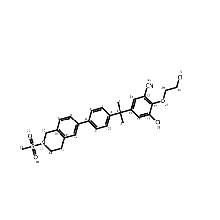 CC(C)(c1ccc(-c2ccc3c(c2)CCN(S(C)(=O)=O)C3)cc1)c1cc(Cl)c(OCCCl)c(C#N)c1